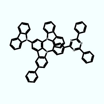 c1ccc(-c2ccc3c(c2)c2cc(-n4c5ccccc5c5ccccc54)cc(-n4c5ccccc5c5ccccc54)c2n3-c2ccc(-c3nc(-c4ccccc4)nc(-c4ccccc4)n3)cc2)cc1